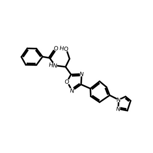 O=C(NC(CO)c1nc(-c2ccc(-n3cccn3)cc2)no1)c1ccccc1